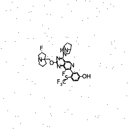 Oc1ccc(SC(F)(F)F)c(-c2ncc3c(N4CC5CCC(C4)N5)nc(OC[C@@]45CCCN4C[C@H](F)C5)nc3c2F)c1